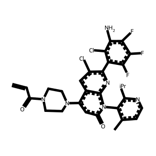 C=CC(=O)N1CCN(c2cc(=O)n(-c3c(C)ccnc3C(C)C)c3nc(-c4c(F)c(F)c(F)c(N)c4Cl)c(Cl)cc23)CC1